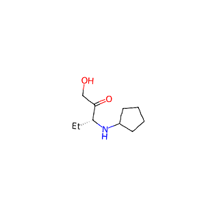 CC[C@@H](NC1CCCC1)C(=O)CO